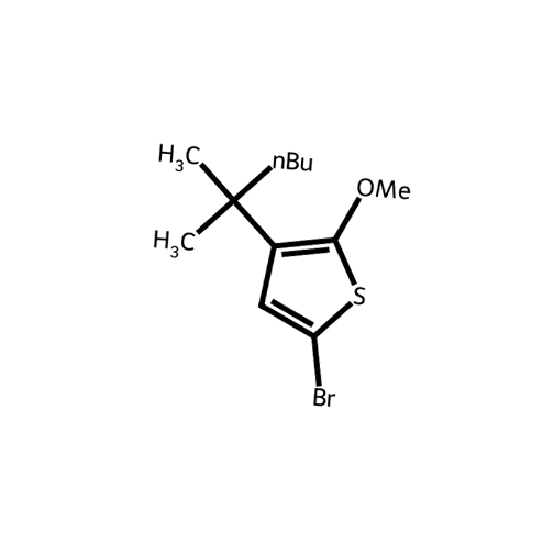 CCCCC(C)(C)c1cc(Br)sc1OC